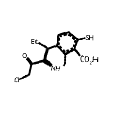 CCC(C(=N)C(=O)CCl)c1ccc(S)c(C(=O)O)c1C